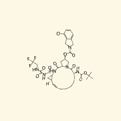 CC(C)(C)OC(=O)N[C@H]1CCCCC/C=C\[C@H]2C[C@@]2(C(=O)NS(=O)(=O)NCC(F)(F)F)NC(=O)C2C[C@@H](OC(=O)N3Cc4cccc(Cl)c4C3)CN2C1=O